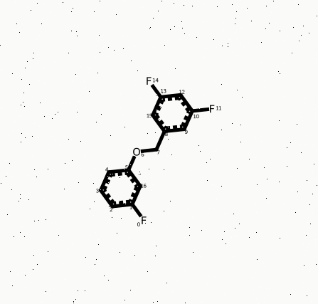 Fc1[c]ccc(OCc2cc(F)cc(F)c2)c1